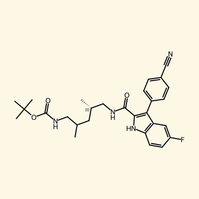 CC(CNC(=O)OC(C)(C)C)C[C@H](C)CNC(=O)c1[nH]c2ccc(F)cc2c1-c1ccc(C#N)cc1